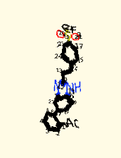 CC(=O)c1ccccc1-c1ccc2[nH]c(/C=C/c3ccc(S(=O)(=O)C(F)(F)F)cc3)nc2c1